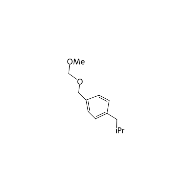 COCOCc1ccc(CC(C)C)cc1